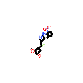 COc1cc(OC)cc(/C(F)=C/c2ccc(Nc3c(C)cccc3[N+](=O)[O-])nc2)c1